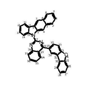 c1ccc2cc3c(cc2c1)c1ccccc1n3-c1nc(-c2ccc3oc4ccccc4c3c2)c2ccccc2n1